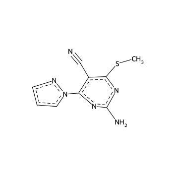 CSc1nc(N)nc(-n2cccn2)c1C#N